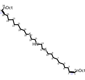 CCCCCCCC/C=C\CCCCCCCCSCCNCCSCCCCCCCC/C=C\CCCCCCCC